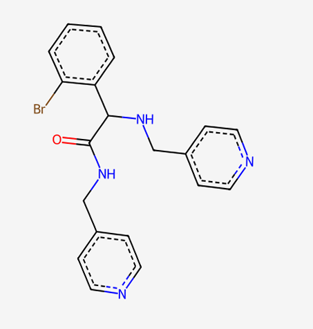 O=C(NCc1ccncc1)C(NCc1ccncc1)c1ccccc1Br